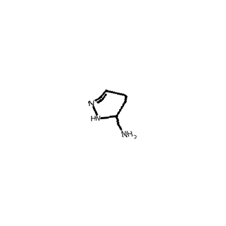 NC1CC=NN1